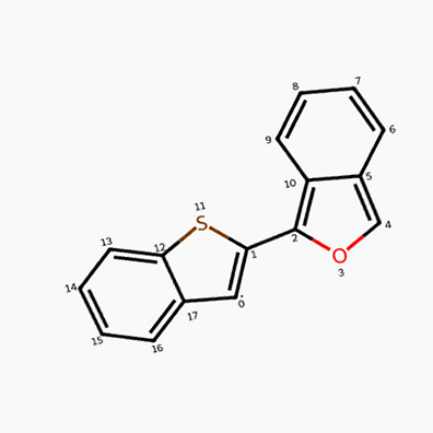 [c]1c(-c2occ3ccccc23)sc2ccccc12